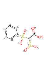 O=C(O)C(=S(=O)=O)S(=O)(=O)c1ccccc1